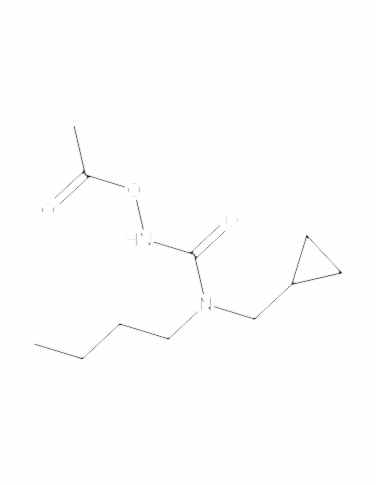 CCCCN(CC1CC1)C(=O)NOC(C)=O